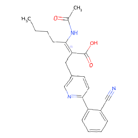 CCCC/C(NC(C)=O)=C(\Cc1ccc(-c2ccccc2C#N)nc1)C(=O)O